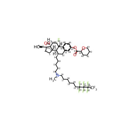 C#C[C@]1(O)CC[C@H]2[C@@H]3[C@H](CCCCCN(C)CCCCCCC(F)(F)C(F)(F)C(F)(F)C(F)(F)F)Cc4cc(OC(=O)C5CCCCO5)ccc4[C@H]3[C@@H](F)C[C@@]21C